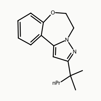 CCCC(C)(C)c1cc2n(n1)CCOc1ccccc1-2